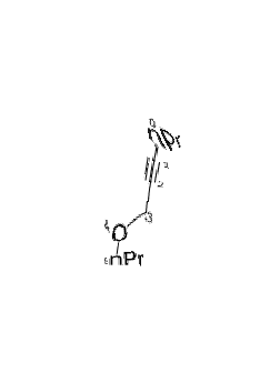 CCCC#C[CH]OCCC